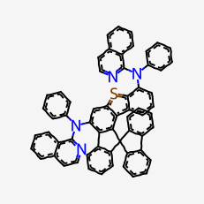 c1ccc(N(c2cc3sc4c(N(c5ccccc5)c5nccc6ccccc56)cccc4c3c3c2-c2ccccc2C32c3ccccc3-c3ccccc32)c2nccc3ccccc23)cc1